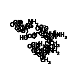 CC(C)(O/N=C(\C(=O)N[C@@H]1C(=O)N2C(C(=O)[O-])=C(C[n+]3ccccc3)CS[C@H]12)c1csc(N)n1)C(=O)O.CO/N=C(\C(=O)N[C@@H]1C(=O)N2C(C(=O)O)=CCS[C@H]12)c1csc(N)n1.Nc1nc(/C(=C/CC(=O)O)C(=O)N[C@@H]2C(=O)N3C(C(=O)O)=CCS[C@H]23)cs1